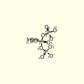 O=P([O-])([O-])OP(=O)([O-])OP(=O)([O-])[O-].[In+3].[Sr+2]